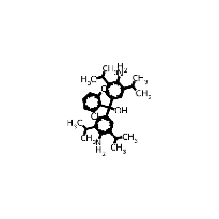 CC(C)c1cc(C(O)(c2cc(C(C)C)c(N)c(C(C)C)c2)c2c(Cl)cccc2Cl)cc(C(C)C)c1N